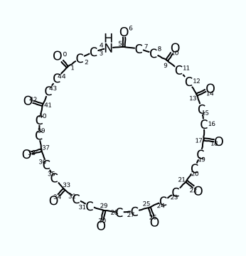 O=C1CCNC(=O)CCC(=O)CCC(=O)CCC(=O)CCC(=O)CCC(=O)CCC(=O)CCC(=O)CCC(=O)CCC(=O)CC1